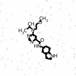 COCCN(c1cc(C(=O)Nc2ccc3[nH]ccc3c2)ncn1)C(C)C